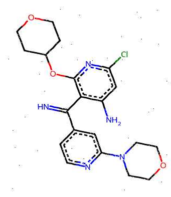 N=C(c1ccnc(N2CCOCC2)c1)c1c(N)cc(Cl)nc1OC1CCOCC1